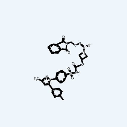 Cc1ccc(-c2cc(C(F)(F)F)nn2-c2ccc(S(=O)(=O)NC(=O)OC3CN(/[N+]([O-])=N\OCN4C(=O)c5ccccc5C4=O)C3)cc2)cc1